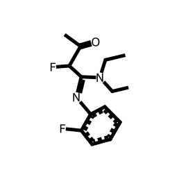 CCN(CC)C(=Nc1ccccc1F)C(F)C(C)=O